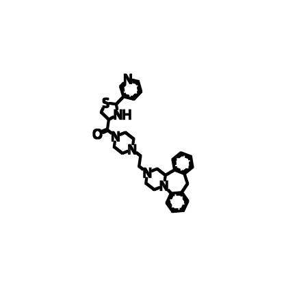 O=C(C1CSC(c2cccnc2)N1)N1CCN(CCN2CCN3c4ccccc4Cc4ccccc4C3C2)CC1